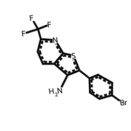 Nc1c(-c2ccc(Br)cc2)sc2nc(C(F)(F)F)ccc12